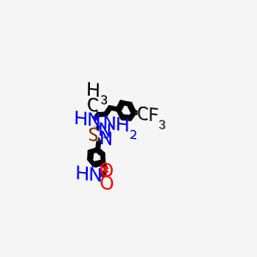 C[C@H](Nc1nnc(-c2ccc3[nH]c(=O)oc3c2)s1)[C@H](N)Cc1ccc(C(F)(F)F)cc1